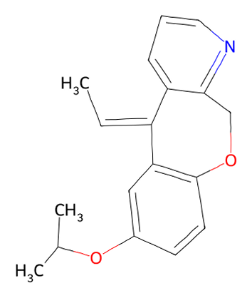 C/C=C1/c2cc(OC(C)C)ccc2OCc2ncccc21